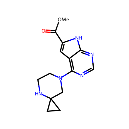 COC(=O)c1cc2c(N3CCNC4(CC4)C3)ncnc2[nH]1